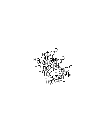 CC1(C)O[C@@H]2C[C@H]3[C@@H]4C[C@H](F)C5=CC(=O)C=C[C@]5(C)[C@H]4[C@@H](O)C[C@]3(C)[C@]2(C(=O)CO)O1.C[C@H]1C[C@H]2[C@@H]3CCC4=CC(=O)C=C[C@]4(C)[C@@]3(Cl)[C@@H](O)C[C@]2(C)[C@@]1(O)C(=O)CO.C[C@]12C=CC(=O)C=C1CC[C@H]1[C@@H]3C[C@@H](O)[C@](O)(C(=O)CO)[C@@]3(C)C[C@H](O)[C@@]12F